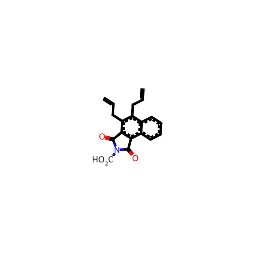 C=CCc1c2c(c3ccccc3c1CC=C)C(=O)N(C(=O)O)C2=O